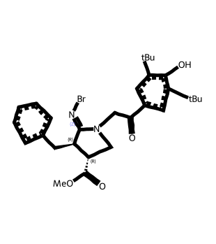 COC(=O)[C@H]1CN(CC(=O)c2cc(C(C)(C)C)c(O)c(C(C)(C)C)c2)/C(=N\Br)[C@@H]1Cc1ccccc1